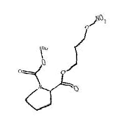 CC(C)(C)OC(=O)N1CCCC1C(=O)OCCCO[N+](=O)[O-]